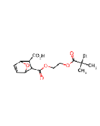 CCC(C)(C)C(=O)OCCOC(=O)C1C2C=CC(O2)C1C(=O)O